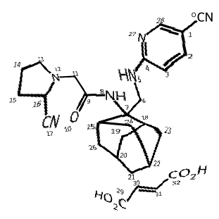 N#Cc1ccc(NCC2(NC(=O)CN3CCCC3C#N)C3CC4CC(C3)CC2C4)nc1.O=C(O)C=CC(=O)O